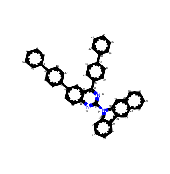 c1ccc(-c2ccc(-c3ccc4nc(-n5c6ccccc6c6cc7ccccc7cc65)nc(-c5ccc(-c6ccccc6)cc5)c4c3)cc2)cc1